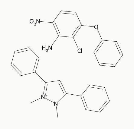 Cn1c(-c2ccccc2)cc(-c2ccccc2)[n+]1C.Nc1c([N+](=O)[O-])ccc(Oc2ccccc2)c1Cl